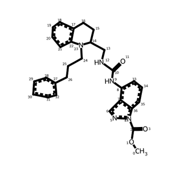 COC(=O)n1ncc2c(NC(=O)NCC3CCc4ccccc4N3CCCc3ccccc3)cccc21